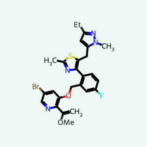 C=C(OC)c1ncc(Br)cc1OCc1cc(F)ccc1-c1nc(C)sc1Cc1cc(CC)nn1C